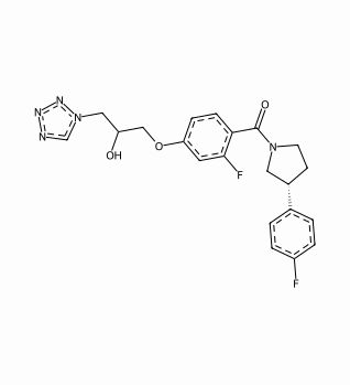 O=C(c1ccc(OCC(O)Cn2cnnn2)cc1F)N1CC[C@H](c2ccc(F)cc2)C1